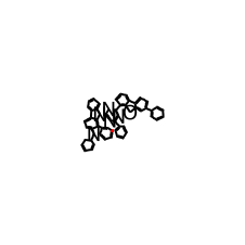 C1=CCC(n2c3ccccc3c3c4c(ccc32)c2ccccc2n4-c2nc(-c3ccccc3)nc(-c3cccc4c3oc3cc(-c5ccccc5)ccc34)n2)C=C1